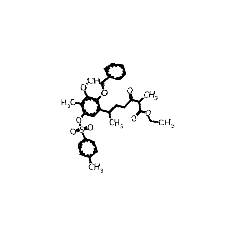 CCOC(=O)C(C)C(=O)CCC(C)c1cc(OS(=O)(=O)c2ccc(C)cc2)c(C)c(OC)c1OCc1ccccc1